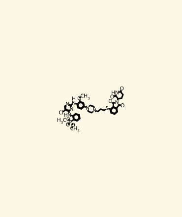 COc1cc(N2CCN(CCCSc3cccc4c3C(=O)N(C3CCC(=O)NC3=O)C4=O)CC2)ccc1Nc1ncc(Cl)c(Nc2ccccc2P(=O)(OC)OC)n1